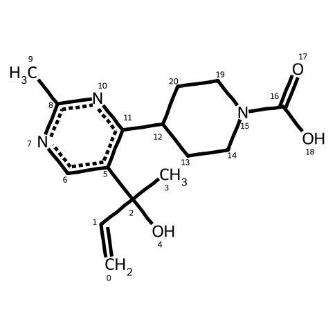 C=CC(C)(O)c1cnc(C)nc1C1CCN(C(=O)O)CC1